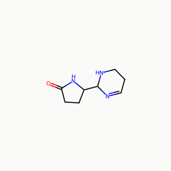 O=C1CCC(C2N=CCCN2)N1